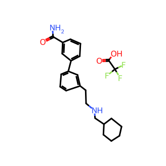 NC(=O)c1cccc(-c2cccc(CCNCC3CCCCC3)c2)c1.O=C(O)C(F)(F)F